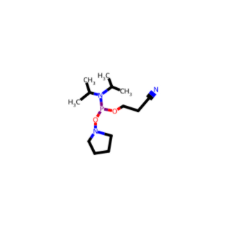 CC(C)N(C(C)C)P(OCCC#N)ON1CCCC1